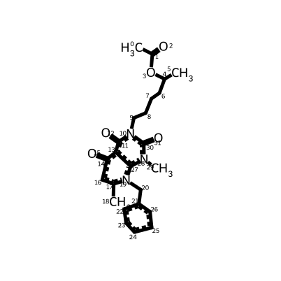 CC(=O)OC(C)CCCCn1c(=O)c2c(=O)cc(C)n(Cc3ccccc3)c2n(C)c1=O